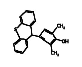 Cc1cc(C2c3ccccc3Sc3ccccc32)cc(C)c1O